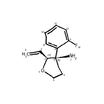 C=C[C@@H]1OCC[C@@]1(N)c1ccccc1F